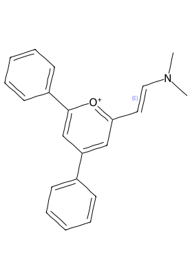 CN(C)/C=C/c1cc(-c2ccccc2)cc(-c2ccccc2)[o+]1